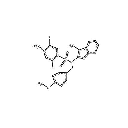 Cc1c(N(Cc2ccc(OC(F)(F)F)cc2)S(=O)(=O)c2cc(F)c(C(=O)O)cc2F)sc2ccccc12